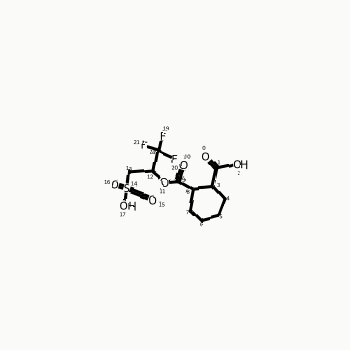 O=C(O)C1CCCCC1C(=O)OC(CS(=O)(=O)O)C(F)(F)F